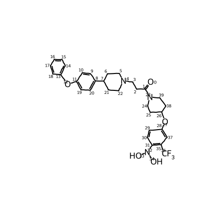 O=C(CCN1CCC(c2ccc(Oc3ccccc3)cc2)CC1)N1CCC(Oc2ccc(N(O)O)c(C(F)(F)F)c2)CC1